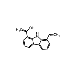 C=Cc1cccc2c1[nH]c1c(C(=C)O)cccc12